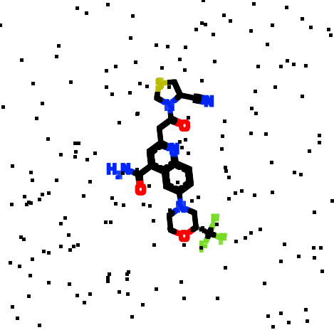 N#CC1CSCN1C(=O)Cc1cc(C(N)=O)c2cc(N3CCO[C@@H](C(F)(F)F)C3)ccc2n1